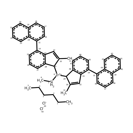 CCCCCC.C[SiH2][Zr+2]([CH]1C(C)=Cc2c(-c3cccc4ccccc34)cccc21)[CH]1C(C)=Cc2c(-c3cccc4ccccc34)cccc21.[Cl-].[Cl-]